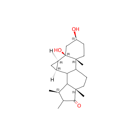 CC1C(=O)[C@@]2(C)CCC3C(C2[C@@H]1C)[C@H]1C[C@H]1[C@]1(O)C[C@@H](O)CC[C@]31C